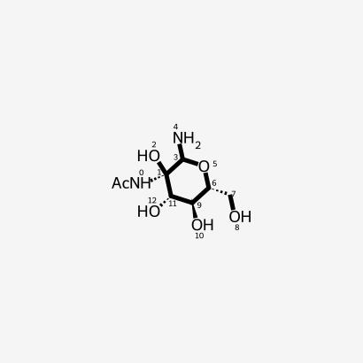 CC(=O)N[C@]1(O)C(N)O[C@H](CO)[C@@H](O)[C@@H]1O